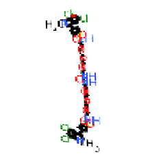 CN1Cc2c(Cl)cc(Cl)cc2C(c2ccc(S(=O)(=O)NCCOCCOCCOCCNC(=O)NCCOCCOCCOCCNS(=O)(=O)c3ccc(C4CN(C)Cc5c(Cl)cc(Cl)cc54)cc3)cc2)C1